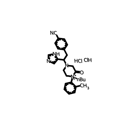 CCCC[N@@+]1(c2ccccc2C)CCN(C(Cc2ccc(C#N)cc2)c2cnc[nH]2)CC1=O.Cl.Cl